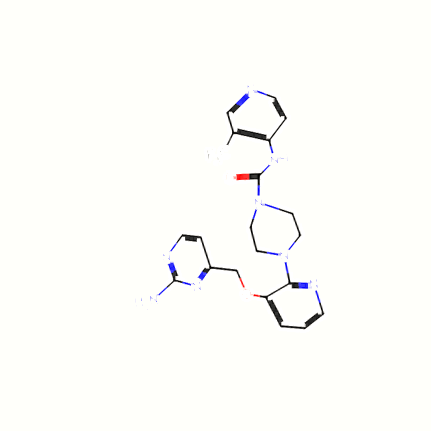 Nc1nccc(COc2cccnc2N2CCN(C(=O)Nc3ccncc3C(F)(F)F)CC2)n1